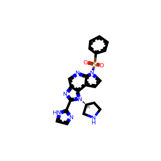 O=S(=O)(c1ccccc1)n1ccc2c1ncc1nc(-c3ncc[nH]3)n([C@@H]3CCNC3)c12